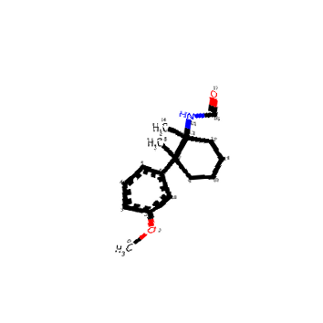 COc1cccc(C2(C)CCCCC2(C)NC=O)c1